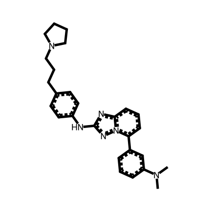 CN(C)c1cccc(-c2cccc3nc(Nc4ccc(CCCN5CCCC5)cc4)nn23)c1